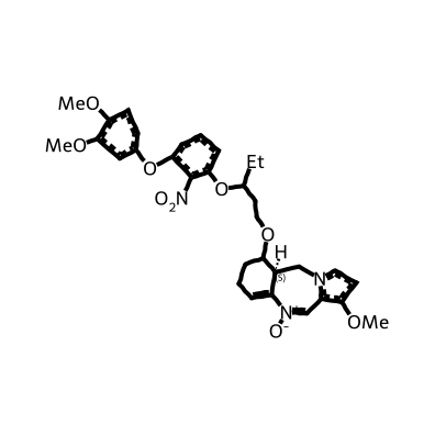 CCC(CCOC1CCC=C2[C@@H]1Cn1ccc(OC)c1C=[N+]2[O-])Oc1cccc(Oc2ccc(OC)c(OC)c2)c1[N+](=O)[O-]